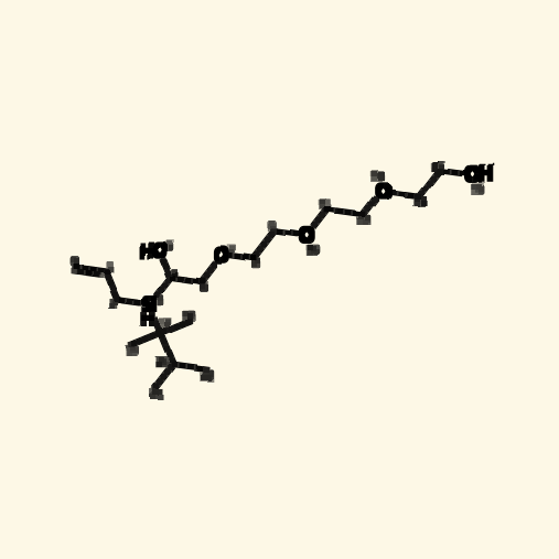 C=CC[SiH](C(O)COCCOCCOCCO)C(C)(C)C(C)C